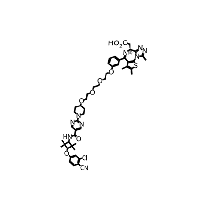 Cc1sc2c(c1C)C(c1cccc(OCCOCCOCCOC3CCN(c4ncc(C(=O)NC5C(C)(C)C(Oc6ccc(C#N)c(Cl)c6)C5(C)C)cn4)CC3)c1)=N[C@@H](CC(=O)O)c1nnc(C)n1-2